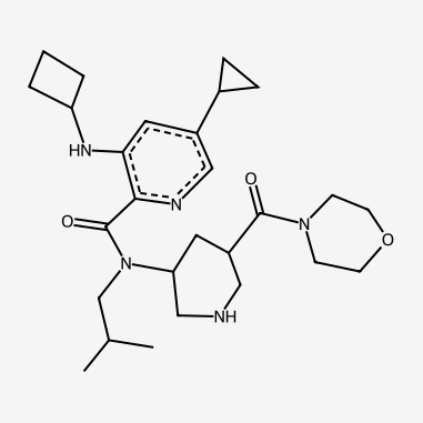 CC(C)CN(C(=O)c1ncc(C2CC2)cc1NC1CCC1)C1CNCC(C(=O)N2CCOCC2)C1